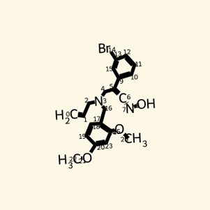 C=CCN(CC(=C=NO)c1cccc(Br)c1)Cc1ccc(OC)cc1OC